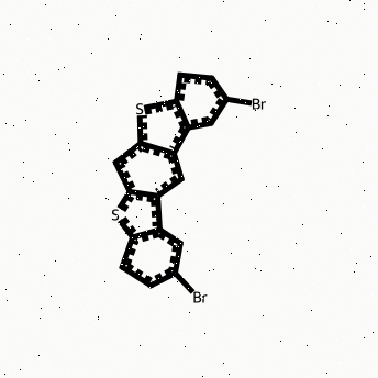 Brc1ccc2sc3cc4sc5ccc(Br)cc5c4cc3c2c1